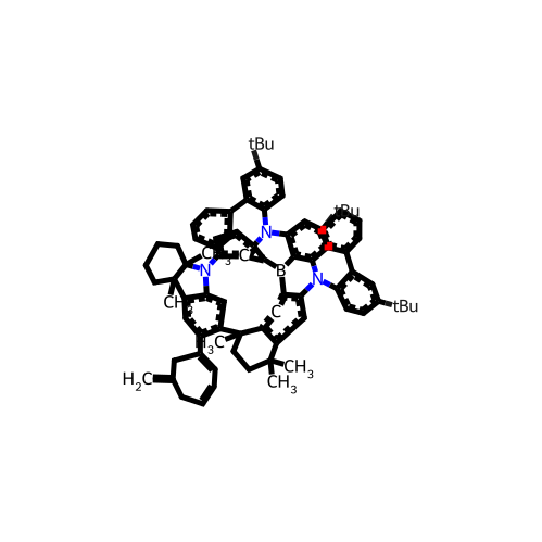 C=C1CC=CC=C(c2cc3c4cc2C2(C)CCC(C)(C)c5cc6c(cc52)B2c5cc(ccc5N(c5ccc(C(C)(C)C)cc5-c5ccccc5)c5cc(C(C)(C)C)cc(c52)N6c2ccc(C(C)(C)C)cc2-c2ccccc2)N4C2(C)CCCCC32C)C1